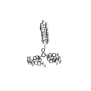 CC1(C)OB(c2cc(OCCCC(F)(F)C(F)(F)C(F)(F)C(F)(F)C(F)(F)C(F)(F)C(F)(F)C(F)(F)F)cc(B3OC(C)(C)C(C)(C)O3)c2)OC1(C)C